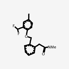 CNC(=O)Cc1ccccc1COc1ccc(C)cc1C(F)F